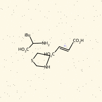 C1CSCN1.CCC(C)C(N)C(=O)O.O=C(O)/C=C/C(=O)O